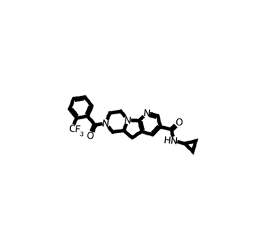 O=C(NC1CC1)c1cnc2c(c1)CC1CN(C(=O)c3ccccc3C(F)(F)F)CCN21